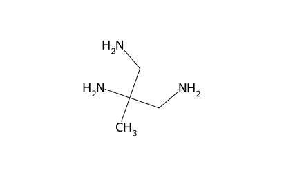 CC(N)(CN)CN